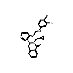 N#Cc1cc(NCOc2ccncc2[C@@H]2Cc3ccccc3C(=O)N2CC2CC2)ccc1F